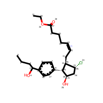 CCCC(O)c1ccc([C@@H]2[C@@H](C/C=C\CCCC(=O)OCC)[C@H](Cl)C[C@H]2O)cc1